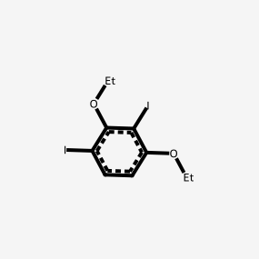 CCOc1ccc(I)c(OCC)c1I